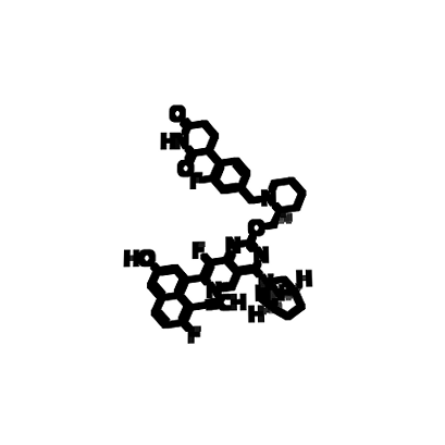 C#Cc1c(F)ccc2cc(O)cc(-c3ncc4c(N5C[C@H]6CC[C@@H](C5)N6)nc(OC[C@@H]5CCCCN5Cc5ccc(C6CCC(=O)NC6=O)c(F)c5)nc4c3F)c12